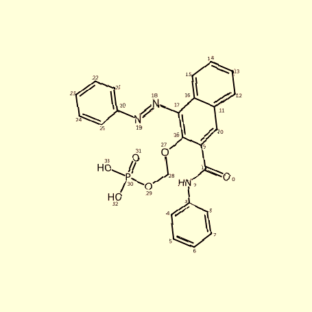 O=C(Nc1ccccc1)c1cc2ccccc2c(/N=N/c2ccccc2)c1OCOP(=O)(O)O